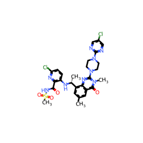 Cc1cc([C@@H](C)Nc2ccc(Cl)nc2C(=O)NS(C)(=O)=O)c2nc(N3CCN(c4ncc(Cl)cn4)CC3)n(C)c(=O)c2c1